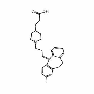 Cc1ccc2c(c1)CCc1ccccc1C2=CCCN1CCC(CCC(=O)O)CC1